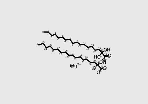 CCCCCCCCCCCCCCCCC(O)(O)C(=O)[O-].CCCCCCCCCCCCCCCCC(O)(O)C(=O)[O-].[Mg+2]